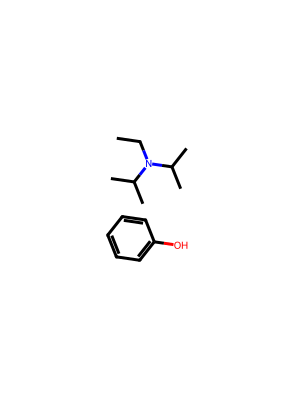 CCN(C(C)C)C(C)C.Oc1ccccc1